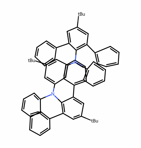 CC(C)(C)c1cc(N(c2ccccc2)c2c(-c3ccccc3)cc(C(C)(C)C)cc2-c2ccccc2)cc(N(c2ccccc2)c2c(-c3ccccc3)cc(C(C)(C)C)cc2-c2ccccc2)c1